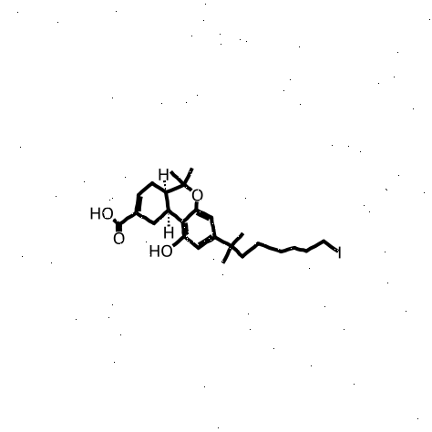 CC(C)(CCCCCCI)c1cc(O)c2c(c1)OC(C)(C)[C@@H]1CC=C(C(=O)O)C[C@H]21